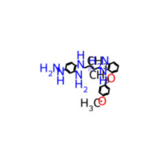 COc1ccc(COc2cccc(N)c2NC/C(C)=C(\C)CNc2ccc(NN)cc2N)cc1